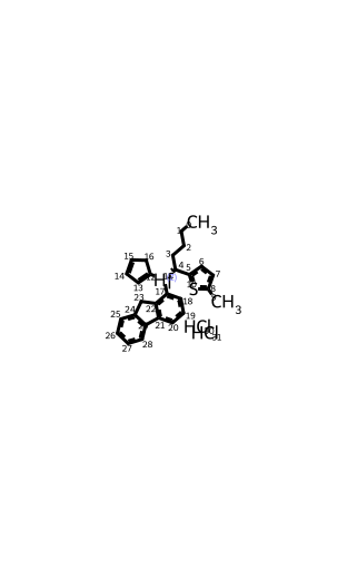 CCCC/[C](c1ccc(C)s1)=[Hf](\[C]1=CC=CC1)[c]1cccc2c1Cc1ccccc1-2.Cl.Cl